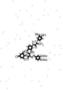 COc1ccc(/N=N/C2C(=O)N(c3c(Cl)cc(Cl)cc3Cl)N=C2Nc2cc(NC(=O)C(C)Oc3ccc(O)c(C(C)(C)C)c3)ccc2Cl)cc1OC